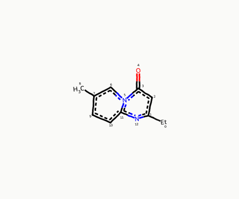 CCc1cc(=O)n2cc(C)ccc2n1